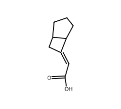 O=C(O)C=C1CC2CCCC12